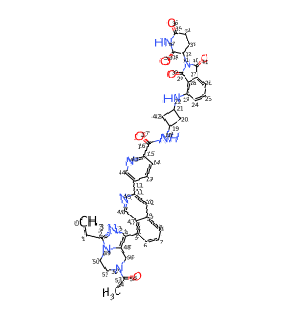 CCc1nc(-c2cccc3cc(-c4ccc(C(=O)NC5CC(Nc6cccc7c6C(=O)N(C6CCC(=O)NC6=O)C7=O)C5)nc4)ncc23)c2n1CCN(C(C)=O)C2